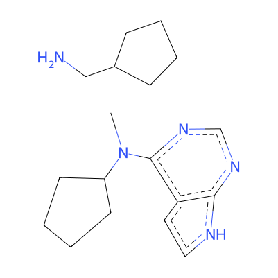 CN(c1ncnc2[nH]ccc12)C1CCCC1.NCC1CCCC1